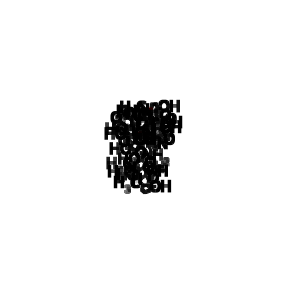 CN(C)[C@@H]1C(O)=C(C(N)=O)C(=O)[C@@]2(O)C(O)=C3C(=O)c4c(O)cccc4[C@@](C)(O)[C@H]3C[C@@H]12.CN(C)c1ccc(O)c2c1C[C@H]1C[C@H]3[C@H](N(C)C)C(O)=C(C(N)=O)C(=O)[C@@]3(O)C(O)=C1C2=O.C[C@H]1c2cccc(O)c2C(=O)C2=C(O)[C@]3(O)C(=O)C(C(N)=O)=C(O)[C@@H](N(C)C)[C@@H]3[C@@H](O)[C@@H]21.O